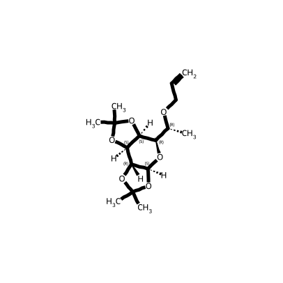 C=CCO[C@H](C)[C@H]1O[C@H]2OC(C)(C)O[C@@H]2[C@H]2OC(C)(C)O[C@H]21